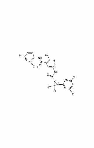 O=C(Nc1ccc(F)cc1Cl)c1cc(NC(=O)[C@@H]2[C@@H](c3cc(Cl)cc(Cl)c3)C2(Cl)Cl)ccc1Cl